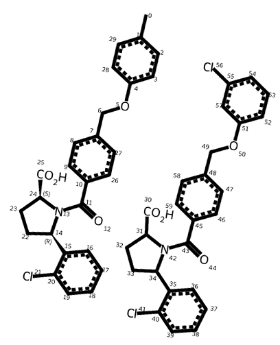 Cc1ccc(OCc2ccc(C(=O)N3[C@@H](c4ccccc4Cl)CC[C@H]3C(=O)O)cc2)cc1.O=C(O)C1CCC(c2ccccc2Cl)N1C(=O)c1ccc(COc2cccc(Cl)c2)cc1